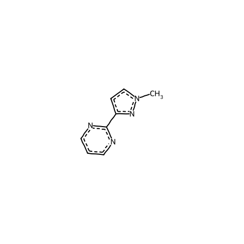 Cn1ccc(-c2ncccn2)n1